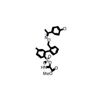 COC(=O)C(=N)OS(=O)(=O)c1ccc(C)cc1-c1ccccc1CO/N=C(/C)c1ccc(Cl)cc1